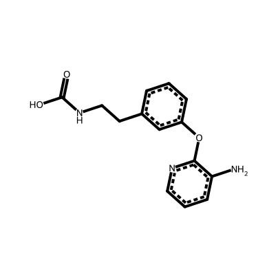 Nc1cccnc1Oc1cccc(CCNC(=O)O)c1